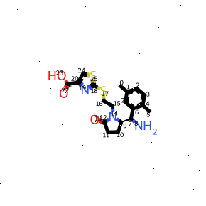 Cc1ccc(C)c(C(N)[C@H]2CCC(=O)N2CCSc2nc(C(=O)O)cs2)c1